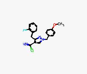 COc1ccc(Cn2cc(C(=N)Cl)c(Cc3ccccc3F)n2)cc1